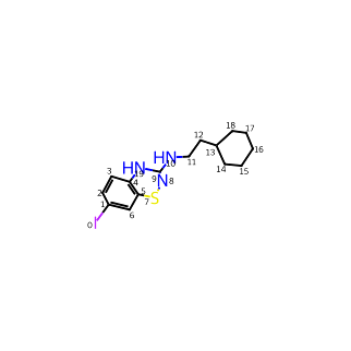 Ic1ccc2c(c1)SN=C(NCCC1CCCCC1)N2